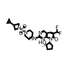 C[C@@]1(O)CCC[C@H]1n1c(=O)c(C(F)F)cc2cnc(NC3CCN(S(=O)(=O)N4CC(C5CC5)C4)CC3)nc21